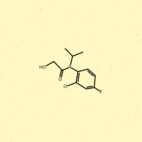 CC(C)N(C(=O)CO)c1ccc(F)cc1Cl